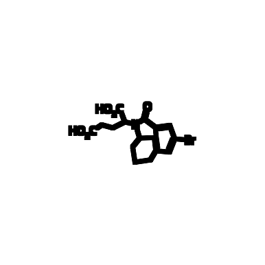 O=C(O)CCC(C(=O)O)N1C(=O)c2cc(Br)cc3c2C1CCC3